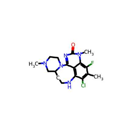 Cc1c(Cl)c2c3c(nc(=O)n(C)c3c1F)N1CCN(C)CC1CCN2